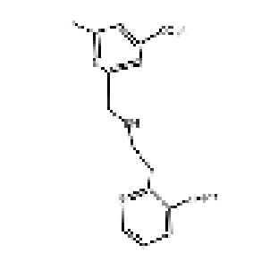 CCCCCc1cccnc1CCNCc1cc(C(=O)O)cc(C)n1